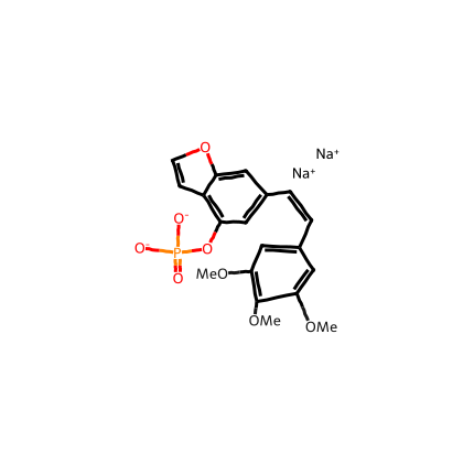 COc1cc(/C=C\c2cc(OP(=O)([O-])[O-])c3ccoc3c2)cc(OC)c1OC.[Na+].[Na+]